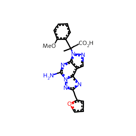 COc1ccccc1C(C)(C(=O)O)n1ncc2c1nc(N)n1nc(-c3ccco3)nc21